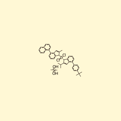 CC1=Cc2c(-c3cccc4ccccc34)cccc2[CH]1[Zr]([Cl])([Cl])[CH]1C(C(C)C)=Cc2c(-c3ccc(C(C)(C)C)cc3)cccc21.C[Si](C)(O)O